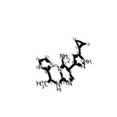 CC(Nc1ncc(-c2cc(C3CC3)[nH]n2)c(N)n1)c1nccs1